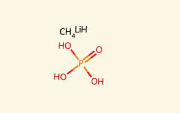 C.O=P(O)(O)O.[LiH]